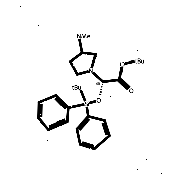 CNC1CCN([C@@H](O[Si](c2ccccc2)(c2ccccc2)C(C)(C)C)C(=O)OC(C)(C)C)C1